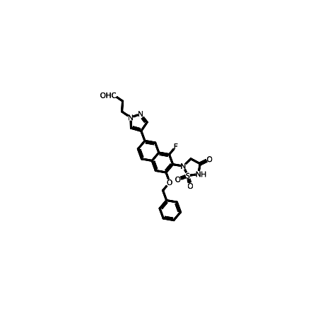 O=CCCn1cc(-c2ccc3cc(OCc4ccccc4)c(N4CC(=O)NS4(=O)=O)c(F)c3c2)cn1